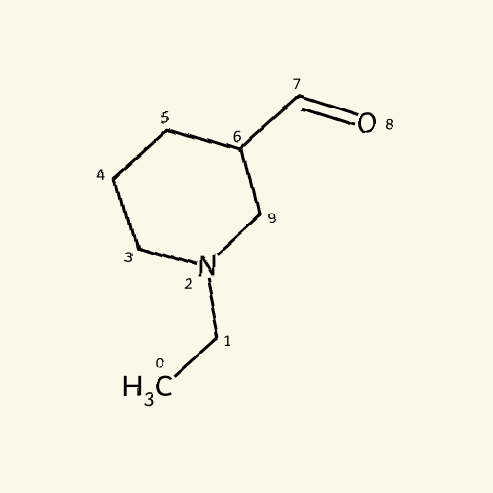 CCN1CCCC(C=O)C1